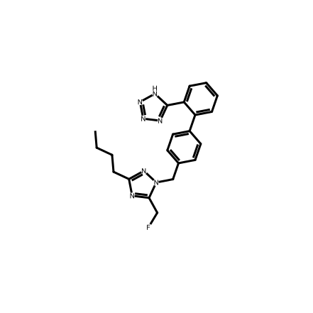 CCCCc1nc(CF)n(Cc2ccc(-c3ccccc3-c3nnn[nH]3)cc2)n1